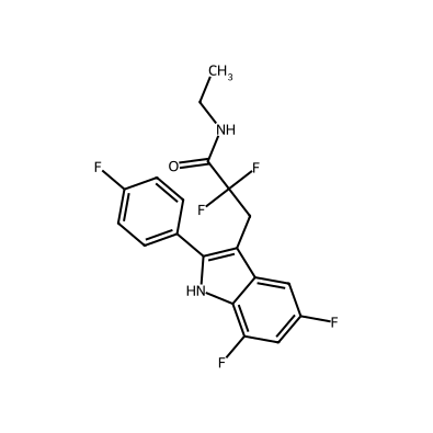 CCNC(=O)C(F)(F)Cc1c(-c2ccc(F)cc2)[nH]c2c(F)cc(F)cc12